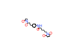 O=C(CCCCCN1C(=O)C=CC1=O)Nc1ccc(CCC(=O)N2CCC2=O)cc1